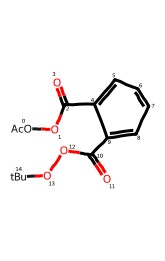 CC(=O)OOC(=O)c1ccccc1C(=O)OOC(C)(C)C